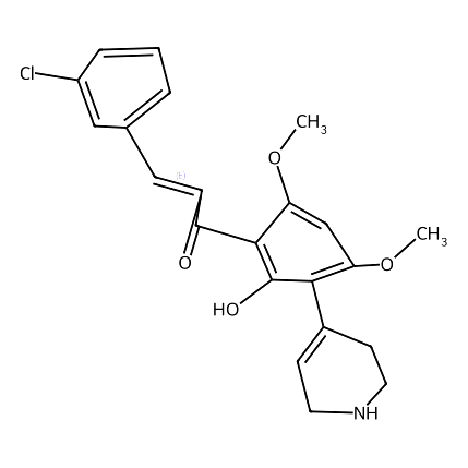 COc1cc(OC)c(C2=CCNCC2)c(O)c1C(=O)/C=C/c1cccc(Cl)c1